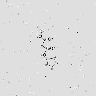 CCOC(=O)CC(=O)OC1CCCC1